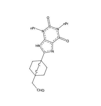 CCCn1c(=O)c2nc(C34CCC(CC=O)(CC3)CC4)[nH]c2n(CCC)c1=O